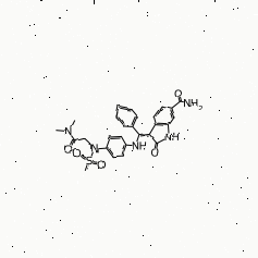 CN(C)C(=O)CN(c1ccc(N/C(=C2\C(=O)Nc3cc(C(N)=O)ccc32)c2ccccc2)cc1)S(C)(=O)=O